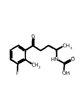 Cc1c(F)cccc1C(=O)CCC(C)NC(=O)O